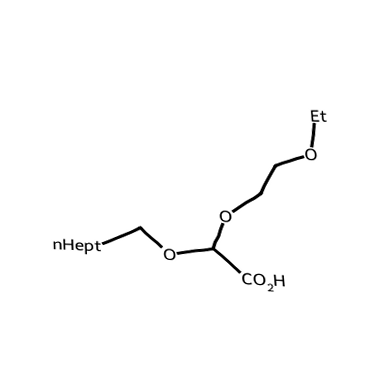 CCCCCCCCOC(OCCOCC)C(=O)O